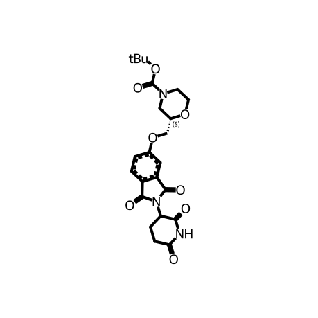 CC(C)(C)OC(=O)N1CCO[C@H](COc2ccc3c(c2)C(=O)N(C2CCC(=O)NC2=O)C3=O)C1